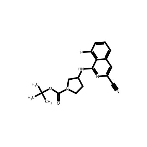 CC(C)(C)OC(=O)N1CCC(Nc2nc(C#N)cc3cccc(F)c23)C1